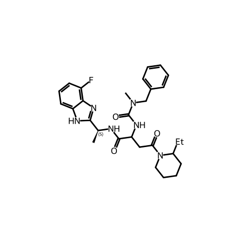 CCC1CCCCN1C(=O)CC(NC(=O)N(C)Cc1ccccc1)C(=O)N[C@@H](C)c1nc2c(F)cccc2[nH]1